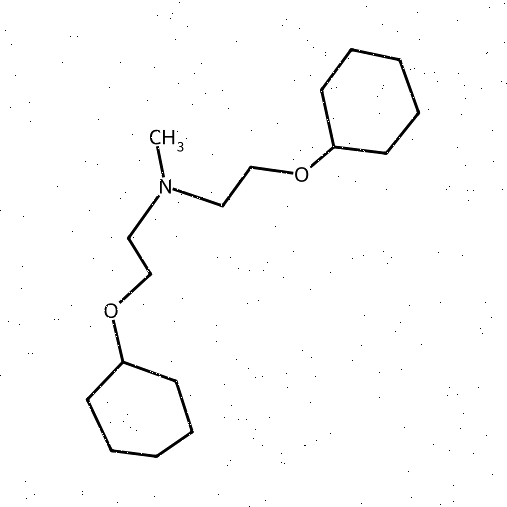 CN(CCOC1CCCCC1)CCOC1CCCCC1